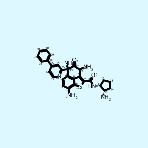 Nc1ccc2c3c(c(C(=O)N[C@@H]4CCC[C@@H]4N)sc13)C(N)C(=O)C2(N)c1cc(-c2ccccc2)ccn1